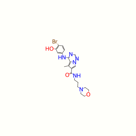 Cc1c(C(=O)NCCCN2CCOCC2)cn2ncnc(Nc3ccc(Br)c(O)c3)c12